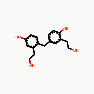 OCCc1cc(Cc2ccc(O)cc2CCO)ccc1O